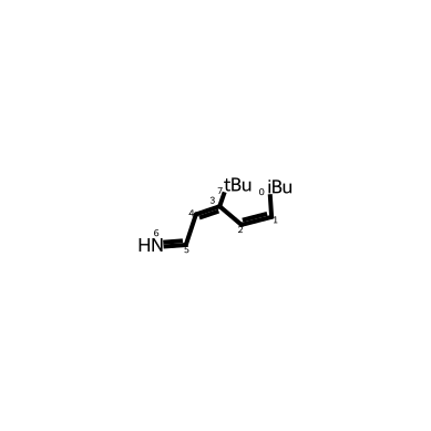 CCC(C)/C=C\C(=C/C=N)C(C)(C)C